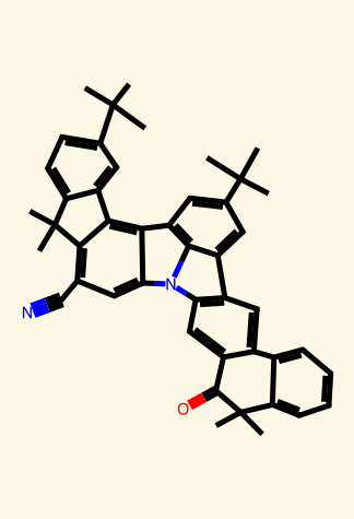 CC(C)(C)c1ccc2c(c1)-c1c(c(C#N)cc3c1c1cc(C(C)(C)C)cc4c5cc6c(cc5n3c41)C(=O)C(C)(C)c1ccccc1-6)C2(C)C